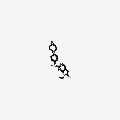 CCN1C(=O)Cc2cnc(Nc3ccc(N4CCN(C)CC4)cc3)nc21